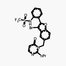 CCCc1nccc(=O)n1Cc1ccc2oc(-c3ccccc3NS(=O)(=O)C(F)(F)F)c(Br)c2c1